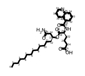 CCCCCCCCCCCCC[C@@H](CC(N)=O)OC(=O)[C@H](CCCC(=O)O)NC(=O)c1cccc2ncccc12